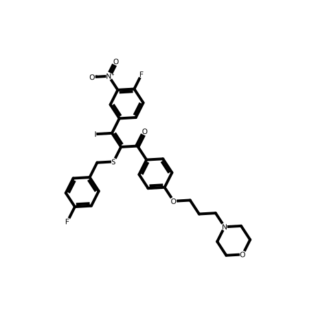 O=C(C(SCc1ccc(F)cc1)=C(I)c1ccc(F)c([N+](=O)[O-])c1)c1ccc(OCCCN2CCOCC2)cc1